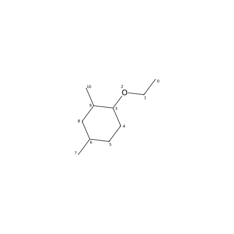 CCOC1CCC(C)CC1C